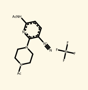 CC(=O)Nc1ccc([N+]#N)c(N2CCN(C(C)=O)CC2)n1.F[B-](F)(F)F